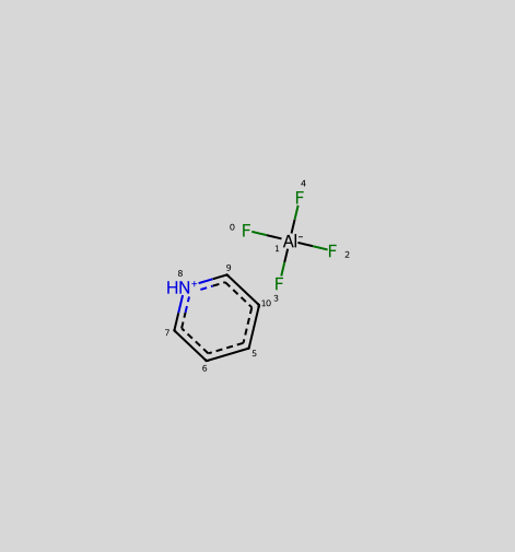 [F][Al-]([F])([F])[F].c1cc[nH+]cc1